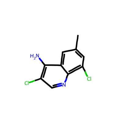 Cc1cc(Cl)c2ncc(Cl)c(N)c2c1